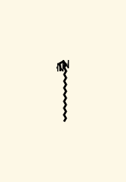 CCCCCCCCCCCCCCCCC1=NCC[N+]1(C)C